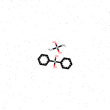 C[Si](C)(O)O.O[Si](O)(c1ccccc1)c1ccccc1